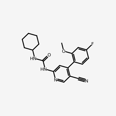 COc1cc(F)ccc1-c1cc(NC(=O)NC2CCCCC2)ncc1C#N